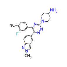 Cn1cc2cc(-c3nnc(N4CCC(N)CC4)nc3-c3ccc(C#N)c(F)c3)ccc2n1